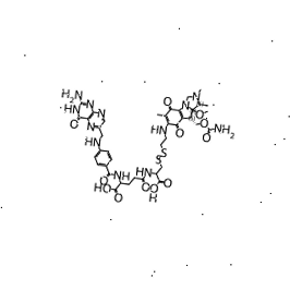 CO[C@@]12[C@H](COC(N)=O)C3=C(C(=O)C(C)=C(NCCSSCC(NC(=O)CCC(NC(=O)c4ccc(NCc5cnc6nc(N)[nH]c(=O)c6n5)cc4)C(=O)O)C(=O)O)C3=O)N1CN(C)[C@H]2C